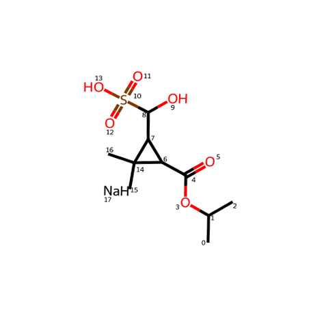 CC(C)OC(=O)C1C(C(O)S(=O)(=O)O)C1(C)C.[NaH]